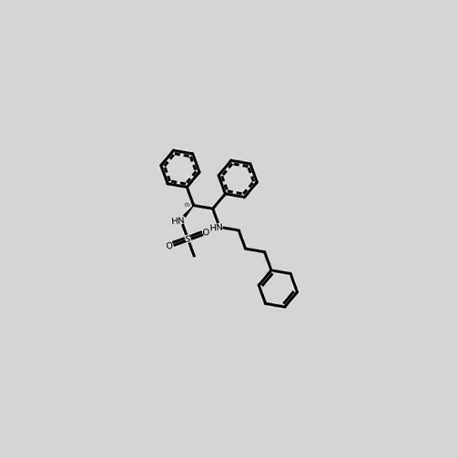 CS(=O)(=O)N[C@@H](c1ccccc1)C(NCCCC1=CCC=CC1)c1ccccc1